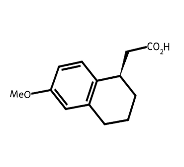 COc1ccc2c(c1)CCC[C@@H]2CC(=O)O